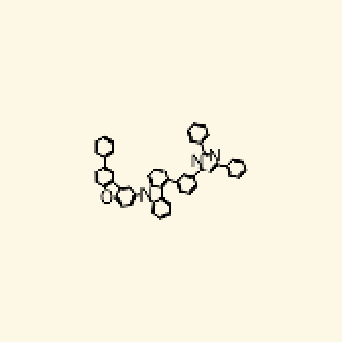 c1ccc(-c2ccc3oc4ccc(-n5c6ccccc6c6c(-c7cccc(-c8cc(-c9ccccc9)nc(-c9ccccc9)n8)c7)cccc65)cc4c3c2)cc1